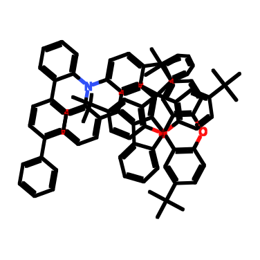 CC(C)(C)c1ccc2c(c1)C1(c3cc(C(C)(C)C)ccc3O2)c2ccccc2-c2ccc(N(c3ccccc3-c3ccc(-c4ccccc4)cc3)c3ccccc3-c3cccc4c3-c3ccccc3C43c4cc(C(C)(C)C)ccc4Oc4ccc(C(C)(C)C)cc43)cc21